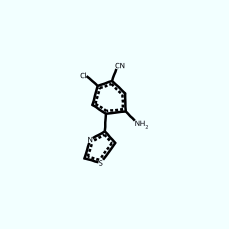 N#Cc1cc(N)c(-c2cscn2)cc1Cl